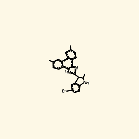 Cc1ccc2c(c1)c1cc(C)ccc1c1[nH]c(C3c4cc(Br)ccc4NC3C)nc21